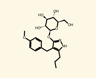 CCCc1[nH]nc(O[C@@H]2O[C@H](CO)[C@@H](O)[C@H](O)[C@H]2O)c1Cc1ccc(OC)cc1